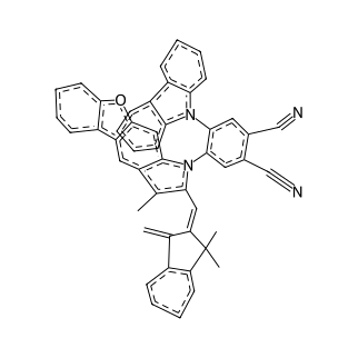 C=C1/C(=C\c2c(C)c3cc4c(cc3n2-c2cc(C#N)c(C#N)cc2-n2c3ccccc3c3ccccc32)oc2ccccc24)C(C)(C)c2ccccc21